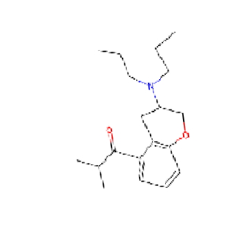 CCCN(CCC)C1COc2cccc(C(=O)C(C)C)c2C1